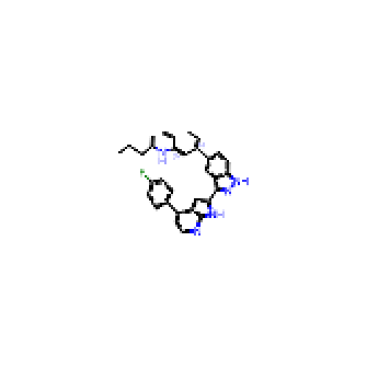 C=C/C(=C\C(=C/C)c1ccc2[nH]nc(-c3cc4c(-c5ccc(F)cc5)ccnc4[nH]3)c2c1)NC(=C)CCC